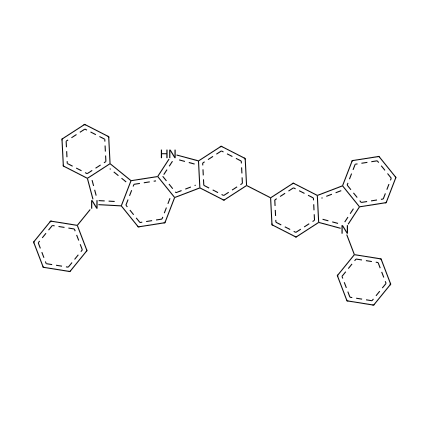 c1ccc(-n2c3ccccc3c3cc(-c4ccc5[nH]c6c(ccc7c6c6ccccc6n7-c6ccccc6)c5c4)ccc32)cc1